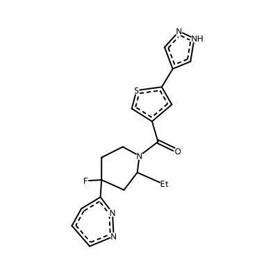 CCC1CC(F)(c2cccnn2)CCN1C(=O)c1csc(-c2cn[nH]c2)c1